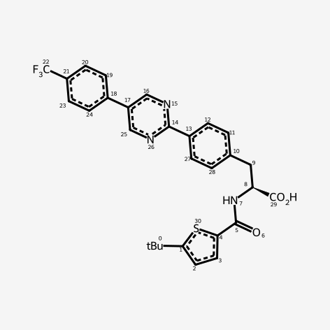 CC(C)(C)c1ccc(C(=O)N[C@@H](Cc2ccc(-c3ncc(-c4ccc(C(F)(F)F)cc4)cn3)cc2)C(=O)O)s1